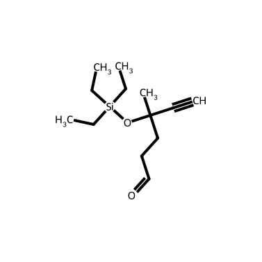 C#CC(C)(CCC=O)O[Si](CC)(CC)CC